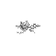 CCCC[C@H](CN(C(=O)OC(C)(C)C)[C@@H](Cc1ccc(O)cc1)C(=O)OC)NC(=O)OC(C)(C)C